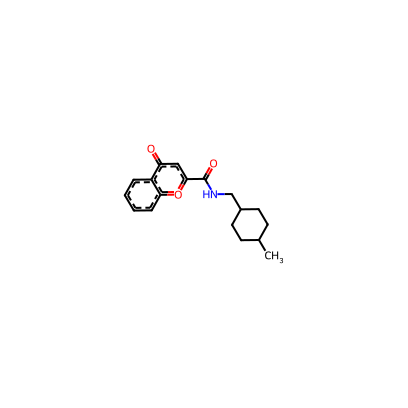 CC1CCC(CNC(=O)c2cc(=O)c3ccccc3o2)CC1